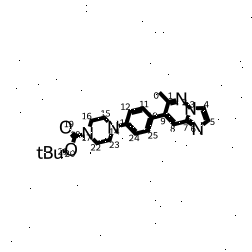 Cc1nn2ccnc2cc1-c1ccc(N2CCN(C(=O)OC(C)(C)C)CC2)cc1